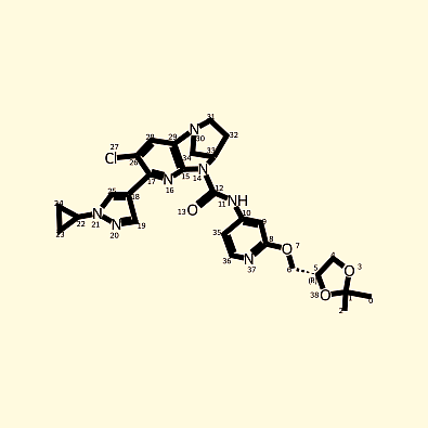 CC1(C)OC[C@@H](COc2cc(NC(=O)N3c4nc(-c5cnn(C6CC6)c5)c(Cl)cc4N4CCC3C4)ccn2)O1